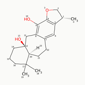 C[C@H]1COc2c1cc1c(c2O)C[C@@]2(O)CCCC(C)(C)[C@@H]2CC1